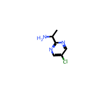 CC(N)c1ncc(Cl)cn1